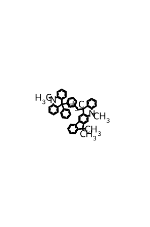 CN1c2ccccc2C(C)(Cc2cccc(C3(c4ccccc4)c4ccccc4N(C)c4ccccc43)c2)c2cc3c(cc21)C(C)(C)c1ccccc1-3